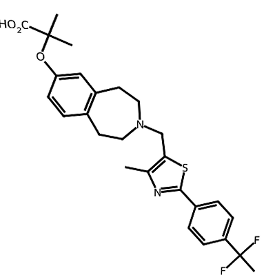 Cc1nc(-c2ccc(C(C)(F)F)cc2)sc1CN1CCc2ccc(OC(C)(C)C(=O)O)cc2CC1